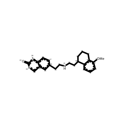 COc1cccc2c1CCCC2CCNCCc1ccc2sc(=O)ncc2c1